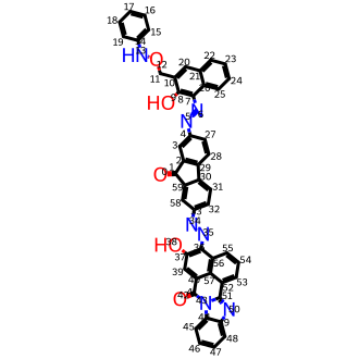 O=C1c2cc(N=Nc3c(O)c(CONc4ccccc4)cc4ccccc34)ccc2-c2ccc(N=Nc3c(O)cc4c(=O)n5c6ccccc6nc5c5cccc3c45)cc21